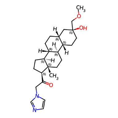 COC[C@]1(O)CC[C@H]2[C@H](CC[C@@H]3[C@@H]2CC[C@]2(C)[C@@H](C(=O)Cn4ccnc4)CC[C@@H]32)C1